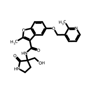 Cc1ncccc1COc1ccc2oc(C)c(C(=O)NC3(CO)CCNC3=O)c2c1